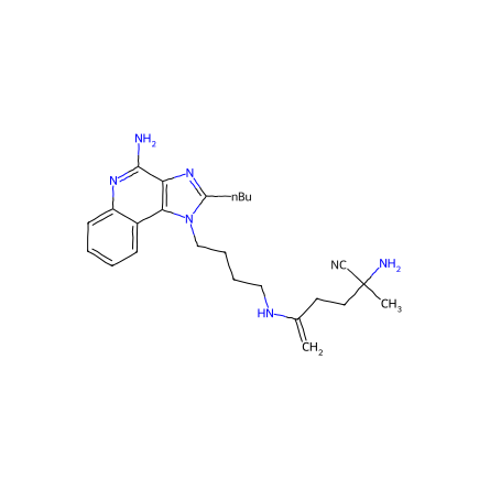 C=C(CCC(C)(N)C#N)NCCCCn1c(CCCC)nc2c(N)nc3ccccc3c21